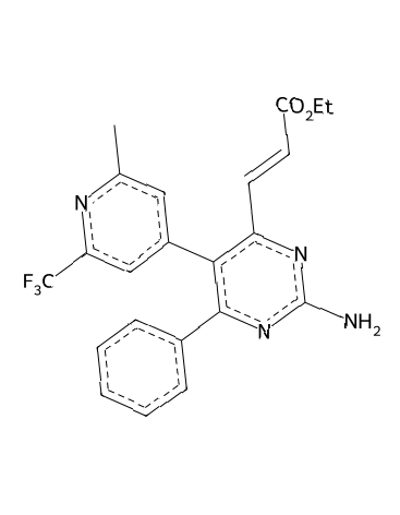 CCOC(=O)/C=C/c1nc(N)nc(-c2ccccc2)c1-c1cc(C)nc(C(F)(F)F)c1